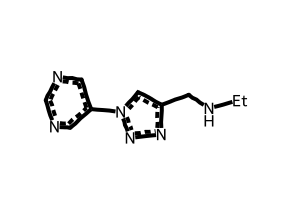 CCNCc1cn(-c2cncnc2)nn1